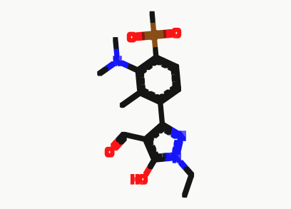 CCn1nc(-c2ccc(S(C)(=O)=O)c(N(C)C)c2C)c(C=O)c1O